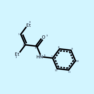 CC/C=C(/CC)C(=O)Nc1ccccc1